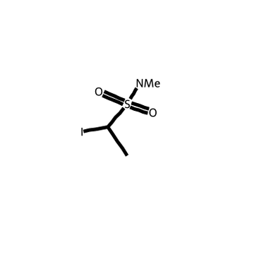 CNS(=O)(=O)C(C)I